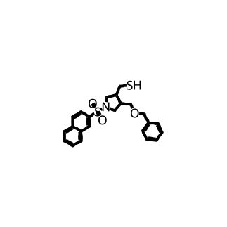 O=S(=O)(c1ccc2ccccc2c1)N1CC(CS)C(COCc2ccccc2)C1